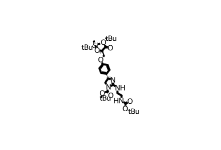 CC(C)(C)OC(=O)NCCNC1=N[C@@H](c2ccc(OC[C@@H](O[Si](C)(C)C(C)(C)C)C(=O)OC(C)(C)C)cc2)CN1C(=O)OC(C)(C)C